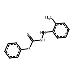 Cc1ccccc1NNC(=S)Sc1ccccc1